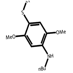 CCCCNc1cc(OC)c(SCC)cc1OC